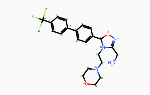 NCC1=NOC(c2ccc(-c3ccc(C(F)(F)F)cc3)cc2)N1CCN1CCOCC1